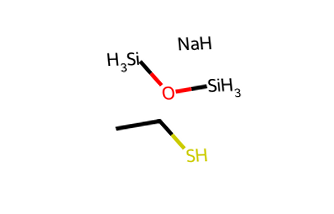 CCS.[NaH].[SiH3]O[SiH3]